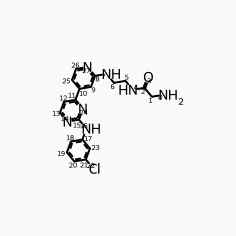 NCC(=O)NCCNc1cc(-c2ccnc(Nc3cccc(Cl)c3)n2)ccn1